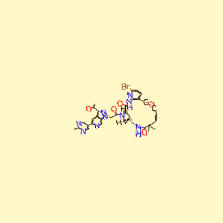 CC(=O)c1nn(CC(=O)N2[C@H]3C[C@@]4(CNC(=O)C(C)(C)CC=CCOCc5ccc(Br)nc5NC3=O)C[C@@H]24)c2cnc(-c3cnc(C)nc3)cc12